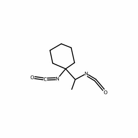 CC(N=C=O)C1(N=C=O)CCCCC1